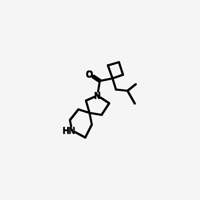 CC(C)CC1(C(=O)N2CCC3(CCNCC3)C2)CCC1